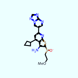 COCC[S+]([O-])c1sc2nc(-c3cnc4ncnn4c3)cc(C3CCC3)c2c1N